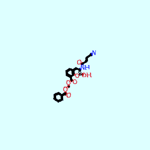 N#CCCC(=O)NC1Cc2cccc(C(=O)OCOC(=O)C3CCCCC3)c2OB1O